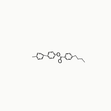 CCCCc1ccc(C(=O)Oc2ccc(-c3ccc(C)cc3)cc2)cc1